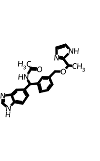 CC(=O)NC(c1cccc(COC(C)c2ncc[nH]2)c1)c1ccc2[nH]cnc2c1